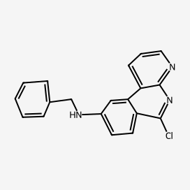 Clc1nc2ncccc2c2cc(NCc3ccccc3)ccc12